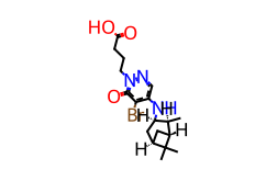 C[C@H]1[C@H]2C[C@H](C[C@H]1Nc1cnn(CCCC(=O)O)c(=O)c1Br)C2(C)C